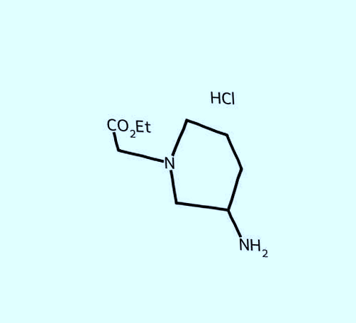 CCOC(=O)CN1CCCC(N)C1.Cl